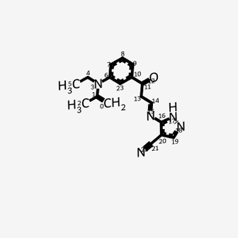 C=C(C)N(CC)c1cccc(C(=O)C/C=N/c2[nH]ncc2C#N)c1